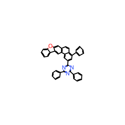 c1ccc(-c2nc(-c3ccccc3)nc(-c3cc(-c4ccccc4)c4ccc5cc6oc7ccccc7c6cc5c4c3)n2)cc1